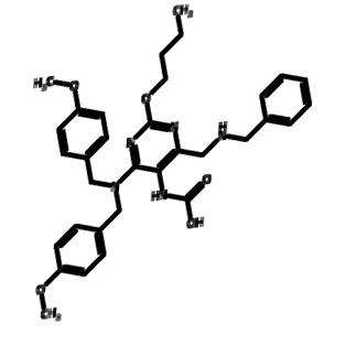 CCCCOc1nc(CNCc2ccccc2)c(NC(=O)O)c(N(Cc2ccc(OC)cc2)Cc2ccc(OC)cc2)n1